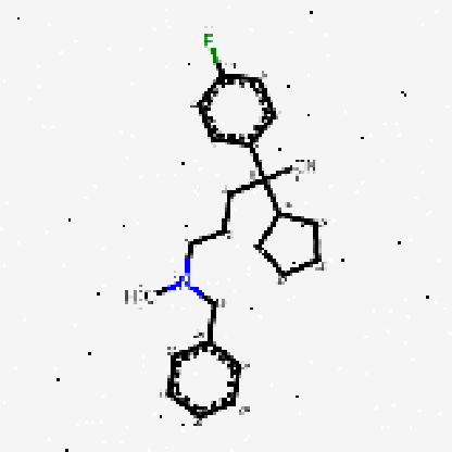 CN(CCCC(C#N)(c1ccc(F)cc1)C1CCCC1)Cc1ccccc1